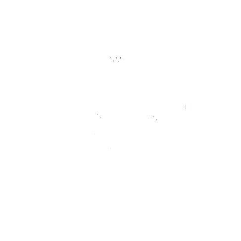 C/C=C(\C)CC(=O)N1CCC(NC)=C(S/C(C#N)=C(\C)CC)C1